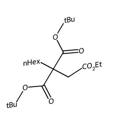 CCCCCCC(CC(=O)OCC)(C(=O)OC(C)(C)C)C(=O)OC(C)(C)C